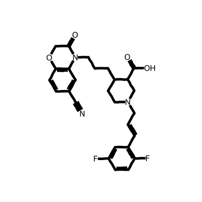 N#Cc1ccc2c(c1)N(CCCC1CCN(CC=Cc3cc(F)ccc3F)CC1C(=O)O)C(=O)CO2